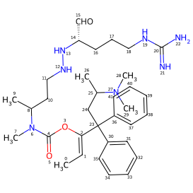 C/C=C(\OC(=O)N(C)C(C)CCNN[C@H](C=O)CCCNC(=N)N)C(CC(C)N(C)C)(c1ccccc1)c1ccccc1